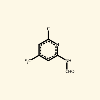 O=[C]Nc1cc(C(F)(F)F)cc(Cl)n1